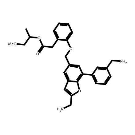 COCC(C)OC(=O)Cc1ccccc1OCc1cc(-c2cccc(CN)c2)c2oc(CN)cc2c1